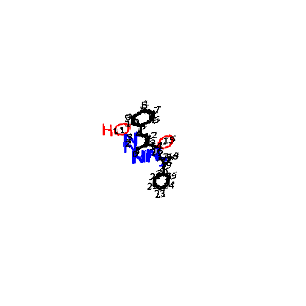 Nc1nnc(-c2ccccc2O)cc1C(=O)NC1CC1c1ccccc1